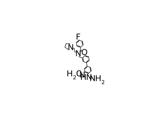 C=Nc1cc(-c2cccc(CN(CCN3CCCC3)C(=O)c3ccc(F)cc3)c2)ccc1NN